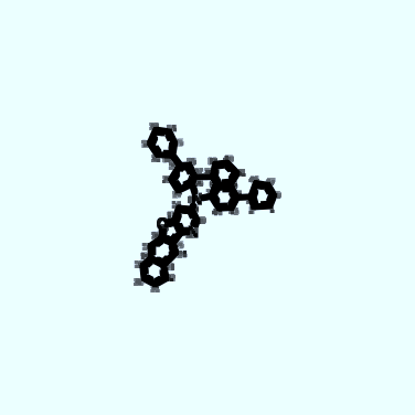 c1ccc(-c2ccc(N(c3cnc4c(c3)oc3cc5ccccc5cc34)c3ccc(-c4ccccc4)cc3-c3ccccc3)cc2)cc1